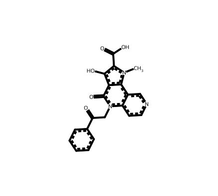 Cn1c(C(=O)O)c(O)c2c(=O)n(CC(=O)c3ccccc3)c3ccncc3c21